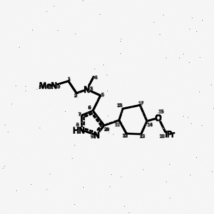 CNCCN(C)Cc1c[nH]nc1C1CCC(OC(C)C)CC1